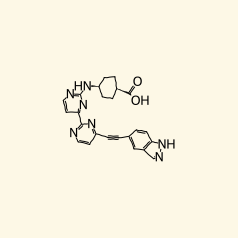 O=C(O)[C@H]1CC[C@@H](Nc2nccc(-c3nccc(C#Cc4ccc5[nH]ncc5c4)n3)n2)CC1